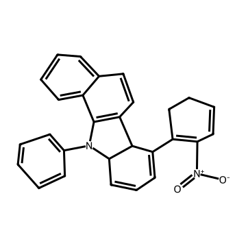 O=[N+]([O-])C1=C(C2=CC=CC3C2c2ccc4ccccc4c2N3c2ccccc2)CCC=C1